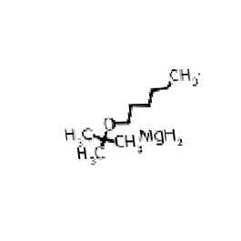 [CH2]CCCCCOC(C)(C)C.[MgH2]